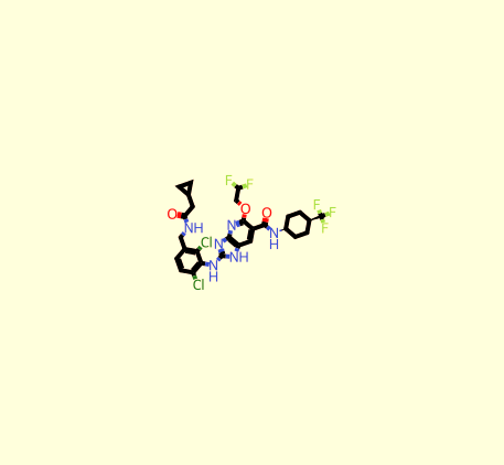 O=C(CC1CC1)NCc1ccc(Cl)c(Nc2nc3nc(OCC(F)F)c(C(=O)N[C@H]4CC[C@H](C(F)(F)F)CC4)cc3[nH]2)c1Cl